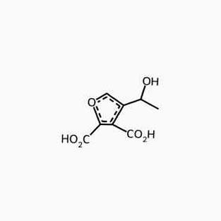 CC(O)c1coc(C(=O)O)c1C(=O)O